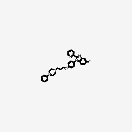 Fc1ccc2c(c1)nc(-c1ccccn1)n2-c1ccc(OCCCN2CCN(c3ccccc3)CC2)cc1